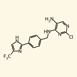 Nc1cnc(Cl)nc1NCc1ccc(-c2nc(C(F)(F)F)c[nH]2)cc1